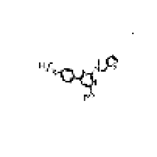 CSc1ccc(-c2cc(SF)nc(NCc3cccs3)n2)cc1